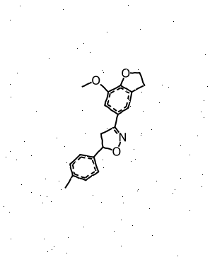 COc1cc(C2=NOC(c3ccc(C)cc3)C2)cc2c1OCC2